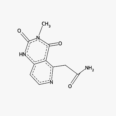 Cn1c(=O)[nH]c2ccnc(CC(N)=O)c2c1=O